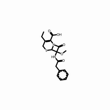 CCC1=C(C(=O)O)N2C(=O)C(NC(=O)Cc3ccccc3)(OC)C2SC1